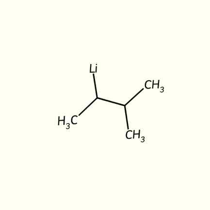 [Li][CH](C)C(C)C